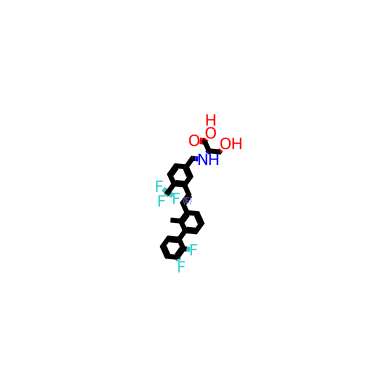 Cc1c(/C=C/c2cc(CNC(CO)C(=O)O)ccc2C(F)(F)F)cccc1-c1cccc(F)c1F